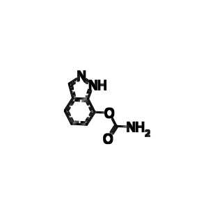 NC(=O)Oc1cccc2cn[nH]c12